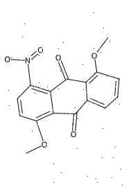 COc1cccc2c1C(=O)c1c([N+](=O)[O-])ccc(OC)c1C2=O